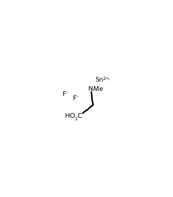 CNCC(=O)O.[F-].[F-].[Sn+2]